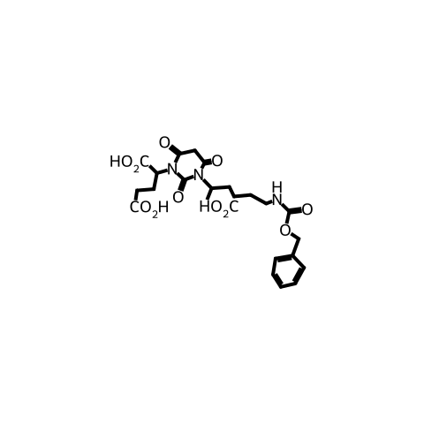 O=C(O)CCC(C(=O)O)N1C(=O)CC(=O)N(C(CCCCNC(=O)OCc2ccccc2)C(=O)O)C1=O